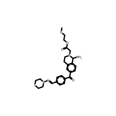 COCCOC(=O)CN1CCc2cc(C(=O)c3ccc(C=NN4CCSCC4)cc3)ccc2C1N